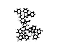 O=C(OC(c1ccccc1)c1ccccc1)C1=C(COc2cccc(F)c2)CS[C@@H]2C(NC(=O)/C(=N/OC(c3ccccc3)(c3ccccc3)c3ccccc3)c3csc(NC(c4ccccc4)(c4ccccc4)c4ccccc4)n3)C(=O)N12